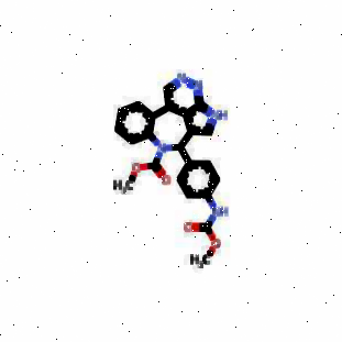 COC(=O)Nc1ccc(C2c3c[nH]c4nncc(c34)-c3ccccc3N2C(=O)OC)cc1